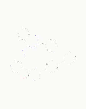 N/C(=N\C(=N/Cc1cccc2oc3ccc(-c4ccc(-c5ccccc5)cc4)cc3c12)c1ccccc1)c1ccccc1